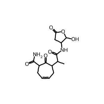 CC(C(=O)NC1CC(=O)OC1O)C1CC=CCC(C(N)=O)C1=O